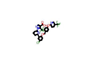 O=C(O)c1cnn(-c2cccc(-c3cc(Cl)ccc3OCc3ccc(Oc4ccc(C(F)(F)F)cn4)cc3)n2)c1C(F)(F)F